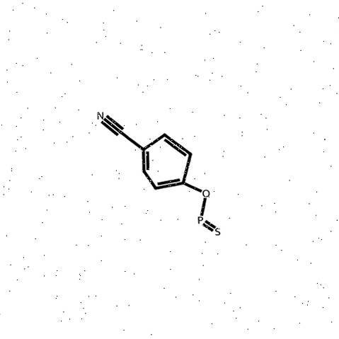 N#Cc1ccc(OP=S)cc1